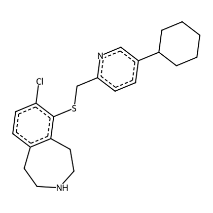 Clc1ccc2c(c1SCc1ccc(C3CCCCC3)cn1)CCNCC2